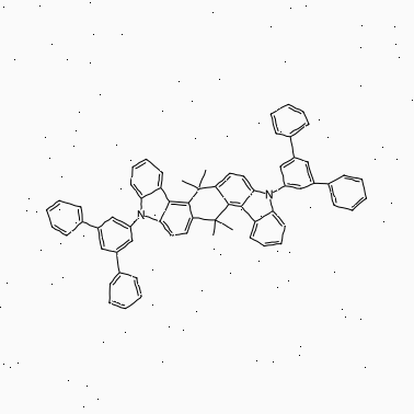 CC1(C)c2ccc3c(c2C(C)(C)c2ccc4c(c21)c1ccccc1n4-c1cc(-c2ccccc2)cc(-c2ccccc2)c1)c1ccccc1n3-c1cc(-c2ccccc2)cc(-c2ccccc2)c1